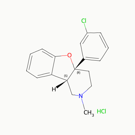 CN1CC[C@@]2(c3cccc(Cl)c3)Oc3ccccc3[C@H]2C1.Cl